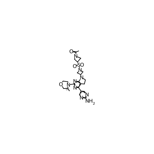 CC(=O)N1CC(S(=O)(=O)N2CC(N3CCc4c(-c5cnc(N)nc5)nc(N5CCOC[C@@H]5C)nc43)C2)C1